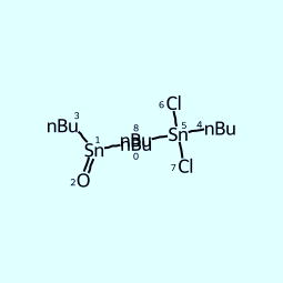 CCC[CH2][Sn](=[O])[CH2]CCC.CCC[CH2][Sn]([Cl])([Cl])[CH2]CCC